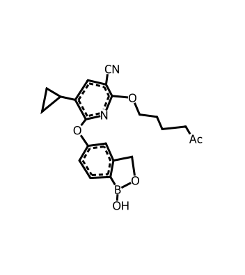 CC(=O)CCCCOc1nc(Oc2ccc3c(c2)COB3O)c(C2CC2)cc1C#N